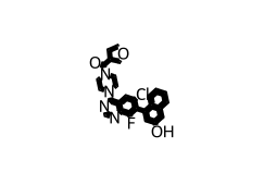 O=C(C1CCOC1)N1CCN(c2ncnc3c(F)c(-c4cc(O)cc5ccccc45)c(Cl)cc23)CC1